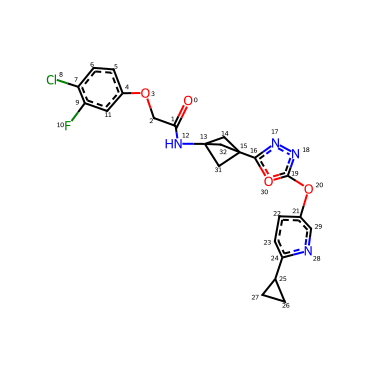 O=C(COc1ccc(Cl)c(F)c1)NC12CC(c3nnc(Oc4ccc(C5CC5)nc4)o3)(C1)C2